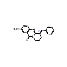 Nc1ccc2nc3n(c(=O)c2c1)CCC/C3=C\c1ccccc1